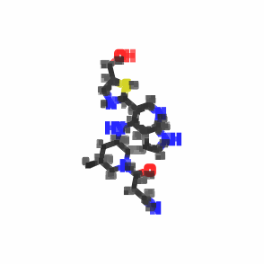 C[C@H]1C[C@@H](Nc2c(-c3ncc(CO)s3)cnc3[nH]ccc23)CN(C(=O)CC#N)C1